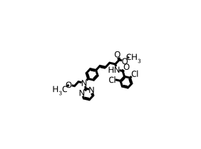 COCCN(c1ccc(C=CCC(NC(=O)c2c(Cl)cccc2Cl)C(=O)OC)cc1)c1ncccn1